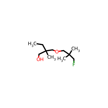 CCC(C)(CO)COCC(C)(C)CF